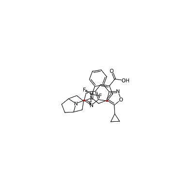 O=C(O)c1ccc2nc(N3C4CCC3CC(NCc3c(-c5ccccc5C(F)(F)F)noc3C3CC3)C4)sc2c1